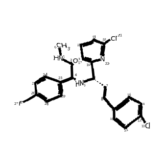 CNC(=O)[C@H](N[C@@H](CCc1ccc(Cl)cc1)c1cccc(Cl)n1)c1ccc(F)cc1